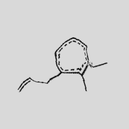 C=CCc1ccc[n+](C)c1C